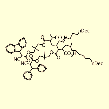 CCCCCCCCCCCCCCCCC(C)CC(C(=O)O)C(C(=O)OCC(C)(C)COC(=O)C(C#N)C(c1ccccc1)c1ccccc1)C(CCCCCCCCCCCCCCCC)CC(C(=O)OCC(C)(C)COC(=O)C(C#N)C1c2ccccc2-c2ccccc21)C(C)C(=O)O